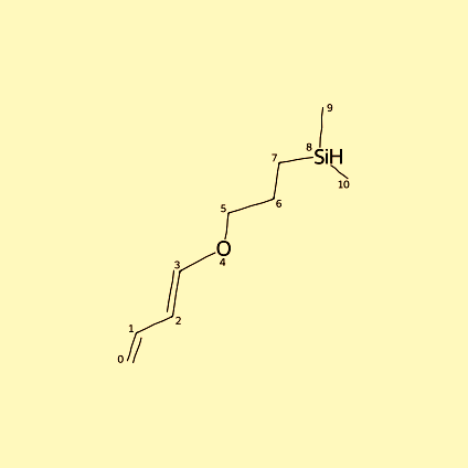 C=CC=COCCC[SiH](C)C